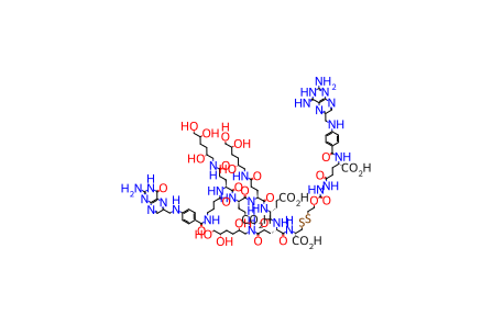 N=c1[nH]c(N)nc2ncc(CNc3ccc(C(=O)N[C@@H](CCC(=O)NNC(=O)OCCSSC[C@@H](NC(=O)[C@H](CCC(=O)NC[C@H](O)CC[C@H](O)CO)NC(=O)[C@@H](CCC(=O)O)NC(=O)[C@H](CCC(=O)NC[C@H](O)CC[C@H](O)CO)NC(=O)[C@@H](CCC(=O)O)NC(=O)[C@H](CCC(=O)NC[C@H](O)CC[C@H](O)CO)NC(=O)CCCNC(=O)c4ccc(NCc5cnc6nc(N)[nH]c(=O)c6n5)cc4)C(=O)O)C(=O)O)cc3)nc12